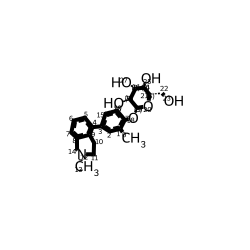 Cc1cc(-c2cccc3c2CCN(C)C3)ccc1O[C@@H]1O[C@@H](CO)[C@H](O)[C@@H](O)[C@H]1O